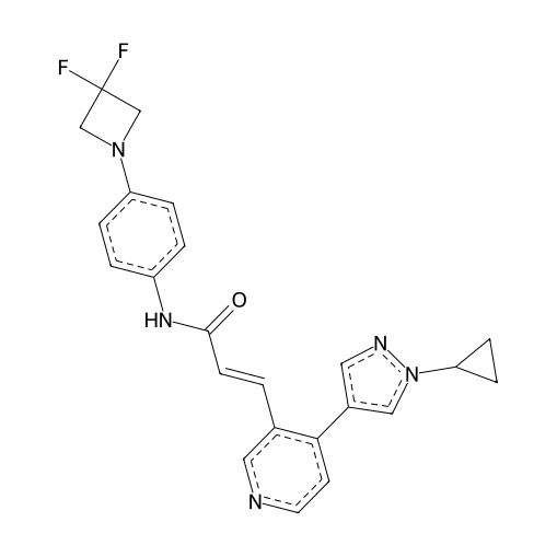 O=C(/C=C/c1cnccc1-c1cnn(C2CC2)c1)Nc1ccc(N2CC(F)(F)C2)cc1